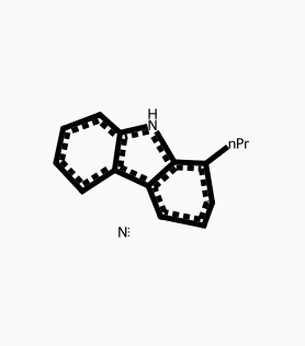 CCCc1cccc2c1[nH]c1ccccc12.[N]